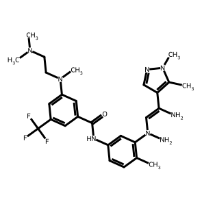 Cc1ccc(NC(=O)c2cc(N(C)CCN(C)C)cc(C(F)(F)F)c2)cc1N(N)/C=C(\N)c1cnn(C)c1C